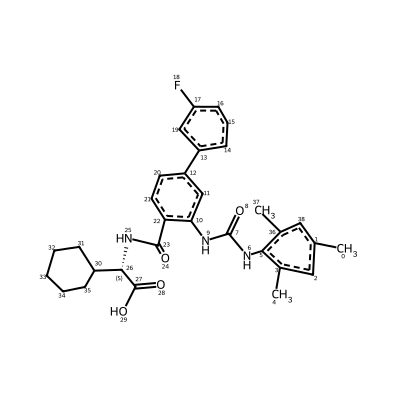 Cc1cc(C)c(NC(=O)Nc2cc(-c3cccc(F)c3)ccc2C(=O)N[C@H](C(=O)O)C2CCCCC2)c(C)c1